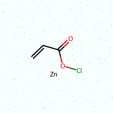 C=CC(=O)OCl.[Zn]